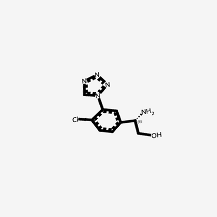 N[C@H](CO)c1ccc(Cl)c(-n2cnnn2)c1